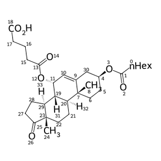 CCCCCCC(=O)O[C@H]1CC[C@@]2(C)C(=C[C@@H](OC(=O)CCCC(=O)O)[C@@H]3[C@@H]2CC[C@]2(C)C(=O)CC[C@@H]32)C1